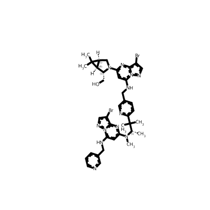 C[C@H](N(C)c1cc(NCc2cccnc2)n2ncc(Br)c2n1)C(C)(C)c1ccc(CNc2cc(N3C[C@H]4[C@@H]([C@H]3CO)C4(C)C)nc3c(Br)cnn23)cn1